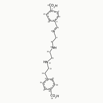 O=C(O)c1ccc(/C=N/CCNCCNCCc2ccc(C(=O)O)cc2)cc1